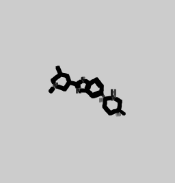 CC1CC(c2nc3cc([C@H]4CC[C@H](C)CN4)ccc3s2)CN(C)C1